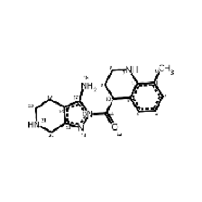 Cc1cccc2c1NCC[C@@H]2C(=O)n1nc2c(c1N)CCNC2